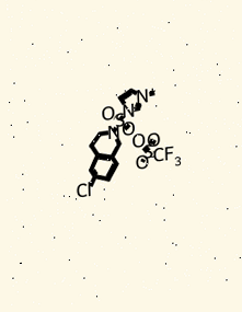 C[n+]1ccn(S(=O)(=O)N2CCc3cc(Cl)ccc3C2)c1.O=S(=O)([O-])C(F)(F)F